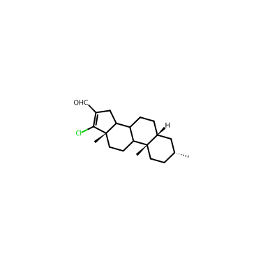 C[C@@H]1CC[C@]2(C)C3CC[C@]4(C)C(Cl)=C(C=O)CC4C3CC[C@@H]2C1